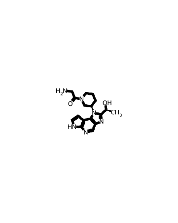 C[C@H](O)c1nc2cnc3[nH]ccc3c2n1[C@@H]1CCCN(C(=O)CN)C1